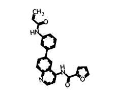 C=CC(=O)Nc1cccc(-c2ccc3nccc(NC(=O)c4ccco4)c3c2)c1